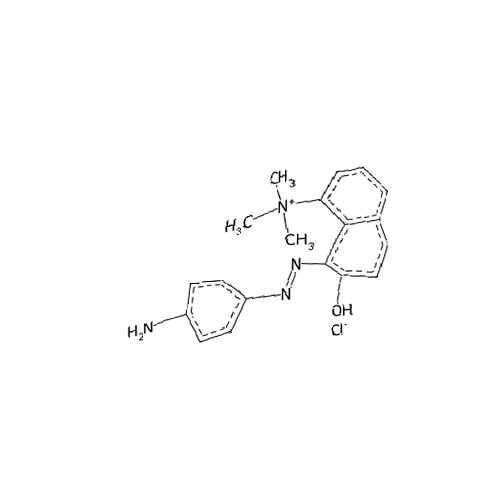 C[N+](C)(C)c1cccc2ccc(O)c(N=Nc3ccc(N)cc3)c12.[Cl-]